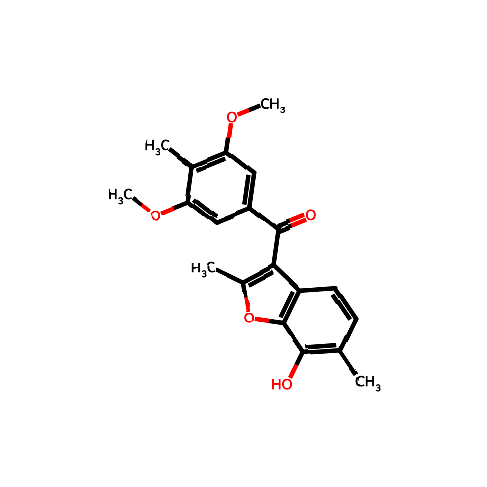 COc1cc(C(=O)c2c(C)oc3c(O)c(C)ccc23)cc(OC)c1C